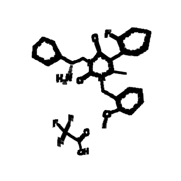 COc1ccccc1Cn1c(C)c(-c2ccccc2F)c(=O)n(C[C@H](N)c2ccccc2)c1=O.O=C(O)C(F)(F)F